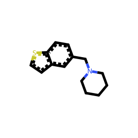 c1cc2cc(CN3CCCCC3)ccc2s1